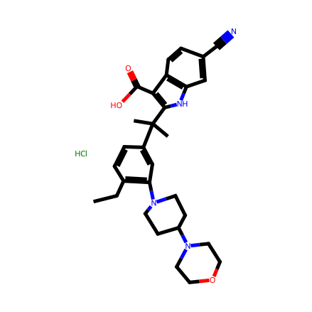 CCc1ccc(C(C)(C)c2[nH]c3cc(C#N)ccc3c2C(=O)O)cc1N1CCC(N2CCOCC2)CC1.Cl